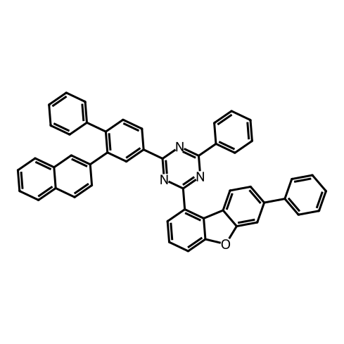 c1ccc(-c2ccc3c(c2)oc2cccc(-c4nc(-c5ccccc5)nc(-c5ccc(-c6ccccc6)c(-c6ccc7ccccc7c6)c5)n4)c23)cc1